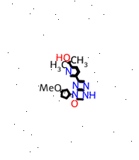 CO[C@@H]1CC[C@@H](N2C(=O)CNc3ncc(-c4ccc(C(C)(C)O)nc4)nc32)C1